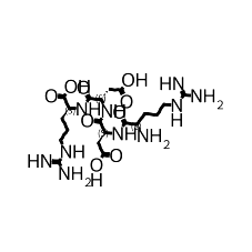 N=C(N)NCCC[C@H](NC(=O)[C@H](CC(=O)O)NC(=O)[C@H](CC(=O)O)NC(=O)[C@@H](N)CCCNC(=N)N)C(=O)O